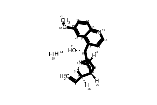 C=C[C@H]1C[N@]2CC[C@H]1C[C@H]2[C@H](O)c1ccnc2ccc(OC)cc12.I.I